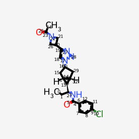 CCC(NC(=O)c1ccc(Cl)cc1)[C@H]1[C@@H]2C[C@@H](n3cc(C4CN(C(C)=O)C4)nn3)C[C@@H]21